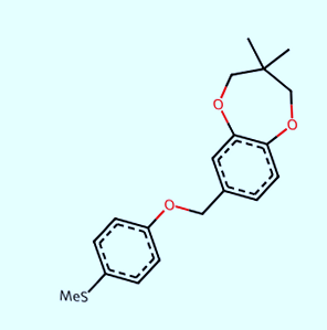 CSc1ccc(OCc2ccc3c(c2)OCC(C)(C)CO3)cc1